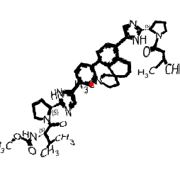 COC(=O)N[C@H](C(=O)N1CCC[C@H]1c1ncc(-c2ccc(-c3ccc(-c4cnc([C@@H]5CCCN5C(=O)CC(C)C)[nH]4)c4c3C3(CCC4)CCN(C)C3)cc2)[nH]1)C(C)C